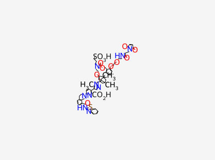 Cc1c(-c2ccc(N3CCc4cccc(C(=O)Nc5nc6ccccc6s5)c4C3)nc2C(=O)O)cnn1CC12CC3(C)CC(C)(C1)CC(OCCN(CCCS(=O)(=O)O)C(=O)OCc1cc[c]cc1OCCOCCNC(=O)CCN1C(=O)C=CC1=O)(C3)C2